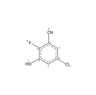 N#Cc1cc(Cl)cc(O)c1F